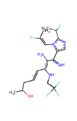 C/C(F)=C\n1c(C(=N)/C(N)=C(/C=C/CC(C)O)NCC(F)(F)F)cnc1C(C)F